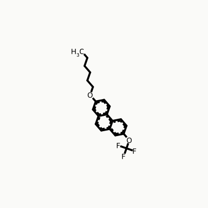 CCCCCCOc1ccc2c(ccc3cc(OC(F)(F)F)ccc32)c1